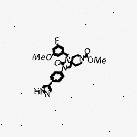 COC(=O)N1CCC2(CC1)CN(c1ccc(-c3cn[nH]c3)cc1)C(=O)N2Cc1cc(F)cc(OC)c1